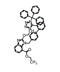 CCOC(=O)c1cccc2nc(OCC)n(Cc3ccc(-c4ccccc4-c4nnnn4C(c4ccccc4)(c4ccccc4)c4ccccc4)cc3)c12